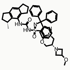 COC1CN([C@@H]2COc3c(S(=O)(=NC(c4ccccc4)(c4ccccc4)c4ccccc4)NC(=O)Nc4c5c(cc6c4[C@H](C)CC6)CCC5)cnn3C2)C1